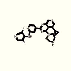 Fc1cncc(F)c1Nc1cc(-c2nc(N3CCNCC3)c3c(C4CC4)cncc3n2)ccn1